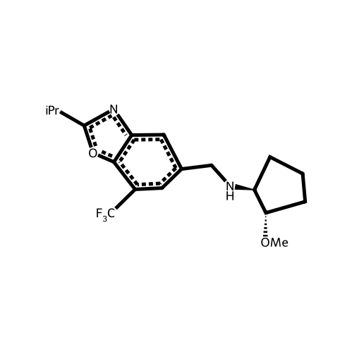 CO[C@H]1CCC[C@@H]1NCc1cc(C(F)(F)F)c2oc(C(C)C)nc2c1